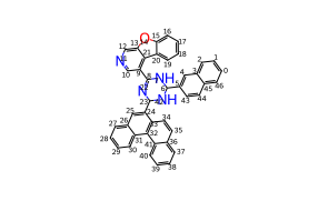 c1ccc2cc(C3NC(c4cncc5oc6ccccc6c45)=NC(c4cc5ccccc5c5c4ccc4ccccc45)N3)ccc2c1